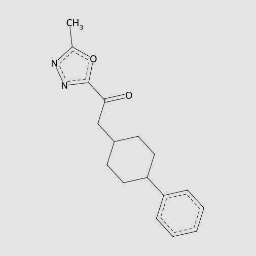 Cc1nnc(C(=O)CC2CCC(c3ccccc3)CC2)o1